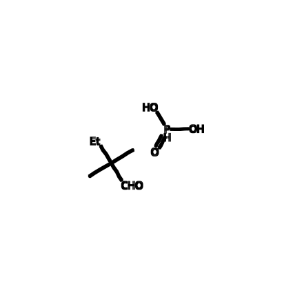 CCC(C)(C)C=O.O=[PH](O)O